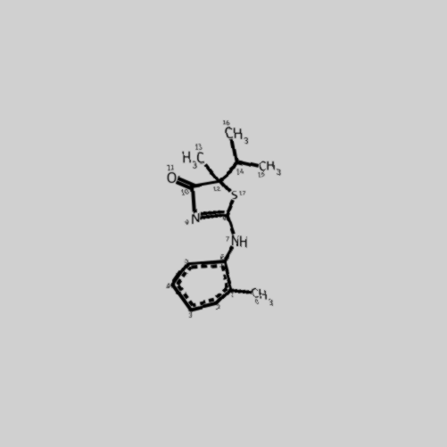 Cc1ccccc1NC1=NC(=O)C(C)(C(C)C)S1